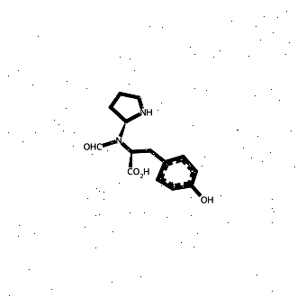 O=CN([C@H]1CCCN1)[C@@H](Cc1ccc(O)cc1)C(=O)O